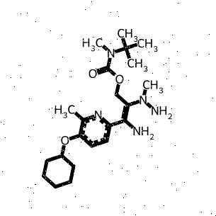 Cc1nc(/C(N)=C(\COC(=O)N(C)C(C)(C)C)N(C)N)ccc1OC1CCCCC1